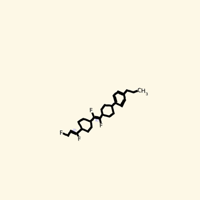 CCCc1ccc(C2CCC(/C(F)=C(\F)C3CCC(/C(F)=C/CF)CC3)CC2)cc1